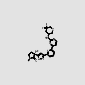 CN1CC[C@@](O)(c2cc(-c3cccc(-c4ccnc(NC5COCC(F)(F)C5)n4)n3)no2)C1=O